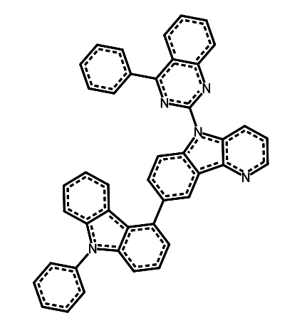 c1ccc(-c2nc(-n3c4ccc(-c5cccc6c5c5ccccc5n6-c5ccccc5)cc4c4ncccc43)nc3ccccc23)cc1